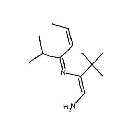 C\C=C/C(=N\C(=C/N)C(C)(C)C)C(C)C